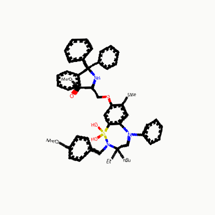 CCCCC1(CC)CN(c2ccccc2)c2cc(SC)c(OCC(NC(c3ccccc3)(c3ccccc3)c3ccccc3)C(=O)OC)cc2S(O)(O)N1Cc1ccc(OC)cc1